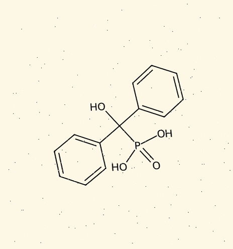 O=P(O)(O)C(O)(c1ccccc1)c1ccccc1